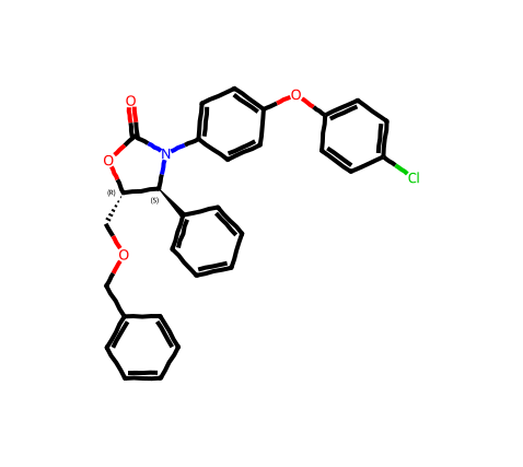 O=C1O[C@@H](COCc2ccccc2)[C@H](c2ccccc2)N1c1ccc(Oc2ccc(Cl)cc2)cc1